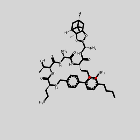 CCCCc1ccc(-c2ccc(CN[C@@H](CCN)C(=O)N[C@H](C(=O)N[C@@H](N)C(=O)N[C@@H](CCCCN)C(=O)N[C@@H](N)B3OC4C[C@@H]5C[C@@H](C5(C)C)[C@]4(C)O3)[C@@H](C)O)cc2)cc1